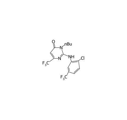 CCCCn1c(Nc2cc(C(F)(F)F)ccc2Cl)nc(C(F)(F)F)cc1=O